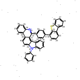 c1ccc(-n2c3ccccc3c3c4c(-c5ccc(-c6cccc7c6sc6ccccc67)cc5)nc5ccccc5c4ccc32)cc1